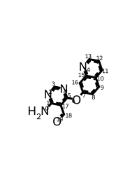 Nc1ncnc(Oc2ccc3cccnc3c2)c1C=O